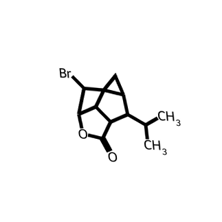 CC(C)C1C2C(=O)OC3C(Br)C4(CC14)C32